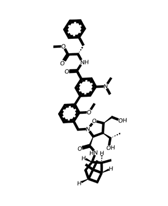 COC(=O)[C@H](Cc1ccccc1)NC(=O)c1cc(-c2cccc(CN3O[C@@H](CO)[C@@H]([C@H](C)O)[C@H]3C(=O)N[C@H]3C[C@H]4C[C@@H]([C@@H]3C)C4(C)C)c2OC)cc(N(C)C)c1